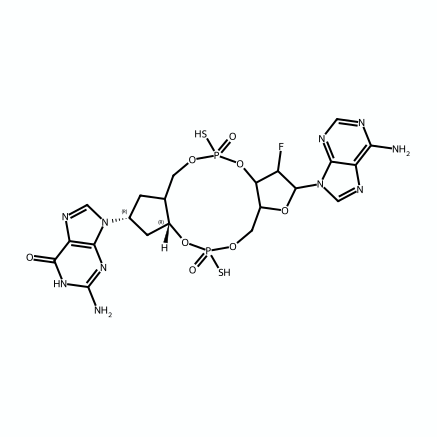 Nc1nc2c(ncn2[C@@H]2CC3COP(=O)(S)OC4C(COP(=O)(S)O[C@@H]3C2)OC(n2cnc3c(N)ncnc32)C4F)c(=O)[nH]1